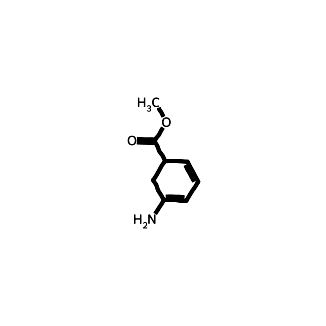 COC(=O)C1C=CC=C(N)C1